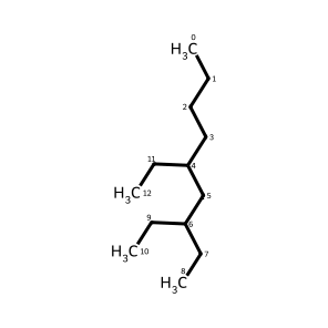 CCCCC([CH]C(CC)CC)CC